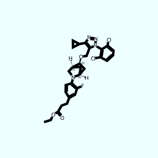 CCOC(=O)CCc1ccc(N2C[C@@H]3C[C@H]2C[C@@H]3OCc2c(C3CC3)nnn2-c2c(Cl)cccc2Cl)c(F)c1